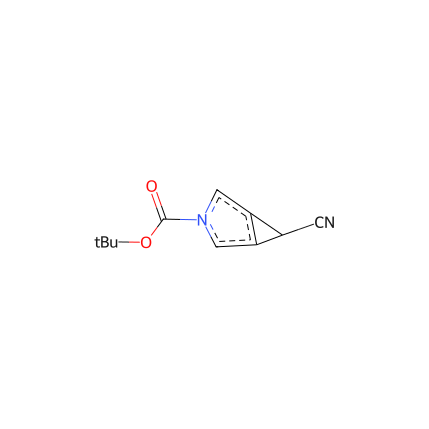 CC(C)(C)OC(=O)n1cc2c(c1)C2C#N